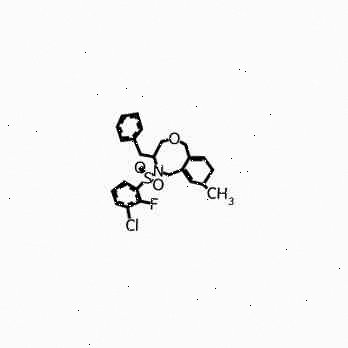 CC1C=C2CN(S(=O)(=O)c3cccc(Cl)c3F)C(Cc3ccccc3)COCC2=CC1